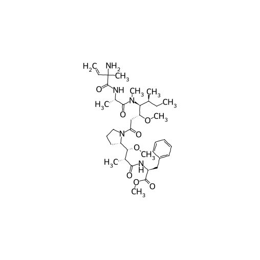 C=CC(C)(N)C(=O)N[C@@H](C)C(=O)N(C)[C@@H]([C@@H](C)CC)[C@@H](CC(=O)N1CCC[C@H]1[C@H](OC)[C@@H](C)C(=O)N[C@@H](Cc1ccccc1)C(=O)OC)OC